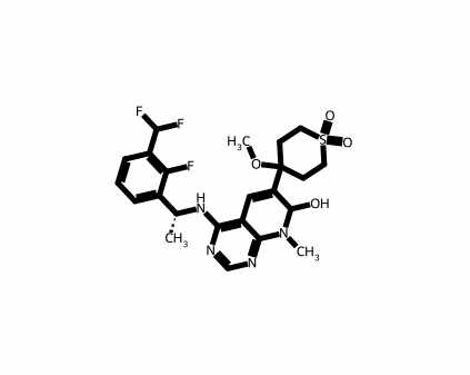 COC1(C2=Cc3c(N[C@H](C)c4cccc(C(F)F)c4F)ncnc3N(C)C2O)CCS(=O)(=O)CC1